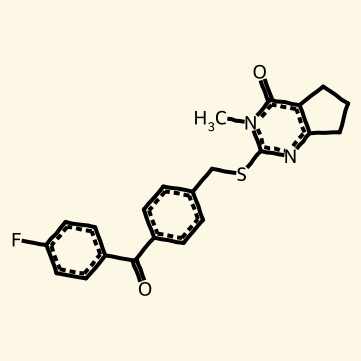 Cn1c(SCc2ccc(C(=O)c3ccc(F)cc3)cc2)nc2c(c1=O)CCC2